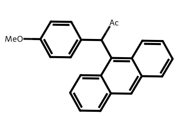 COc1ccc(C(C(C)=O)c2c3ccccc3cc3ccccc23)cc1